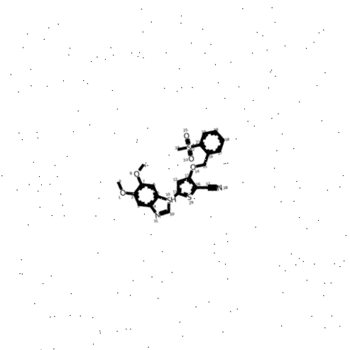 COc1cc2c(cc1OC)[SH](c1cc(OCc3ccccc3S(C)(=O)=O)c(C#N)s1)C=N2